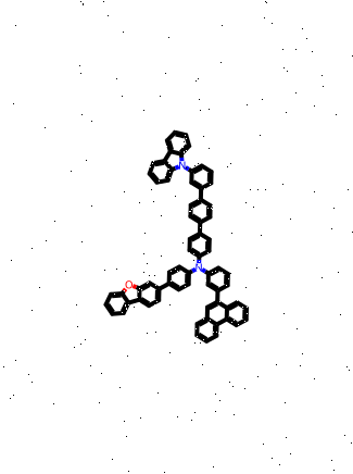 c1cc(-c2cc3ccccc3c3ccccc23)cc(N(c2ccc(-c3ccc(-c4cccc(-n5c6ccccc6c6ccccc65)c4)cc3)cc2)c2ccc(-c3ccc4c(c3)oc3ccccc34)cc2)c1